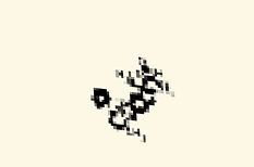 CCC(CC)(c1cc(F)c(CN2[C@@H](C)CC[C@H](c3ccccc3)S2(=O)=O)cc1F)c1oc(=O)[nH]c1C